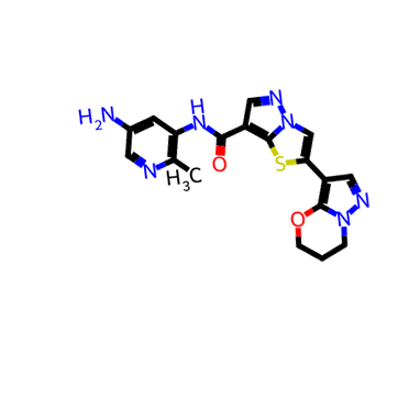 Cc1ncc(N)cc1NC(=O)c1cnn2cc(-c3cnn4c3OCCC4)sc12